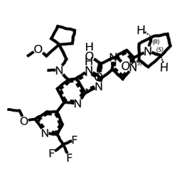 CCOc1cc(-c2cc(N(C)CC3(COC)CCCC3)c3[nH]c(-c4cnc(N5[C@@H]6CC[C@H]5C[C@H](OCC(=O)O)C6)cn4)nc3n2)cc(C(F)(F)F)n1